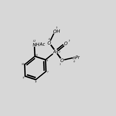 CCCO[As](=O)(OO)c1ccccc1NC(C)=O